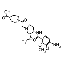 COc1c(C(=O)N[C@@H]2CCN(CC(=O)N3CCC(C(=O)O)CC3)C[C@@H]2OC)ccc(N)c1Cl